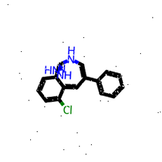 ClC1=CC=CC23NNN=C2NC=C(c2ccccc2)C=C13